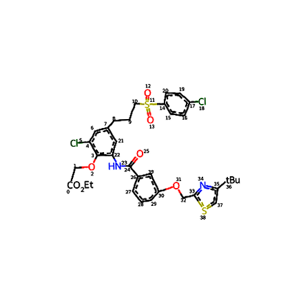 CCOC(=O)COc1c(Cl)cc(CCCS(=O)(=O)c2ccc(Cl)cc2)cc1NC(=O)c1cccc(OCc2nc(C(C)(C)C)cs2)c1